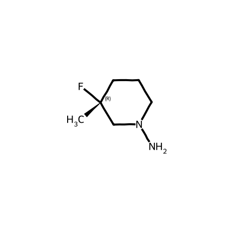 C[C@@]1(F)CCCN(N)C1